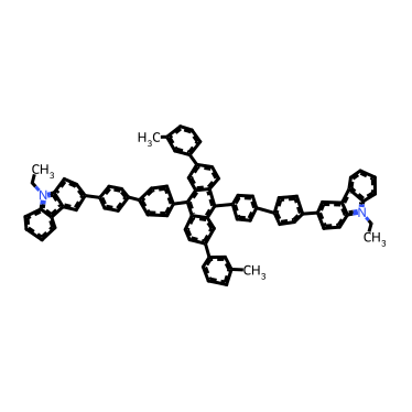 CCn1c2ccccc2c2cc(-c3ccc(-c4ccc(-c5c6ccc(-c7cccc(C)c7)cc6c(-c6ccc(-c7ccc(-c8ccc9c(c8)c8ccccc8n9CC)cc7)cc6)c6ccc(-c7cccc(C)c7)cc56)cc4)cc3)ccc21